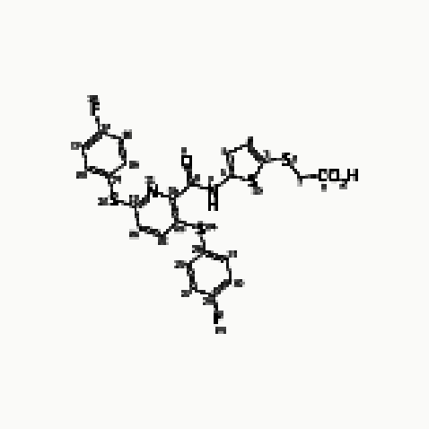 O=C(O)CSc1ccc(NC(=O)c2nc(Sc3ccc(F)cc3)ccc2Sc2ccc(F)cc2)s1